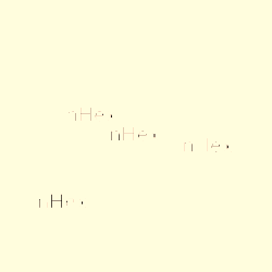 CCCCCCC.CCCCCCC.CCCCCCC.CCCCCCC